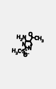 CC(=O)c1cnc([S+](C)[O-])nc1N